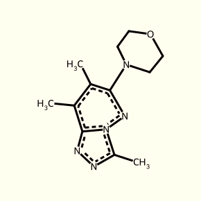 Cc1c(N2CCOCC2)nn2c(C)nnc2c1C